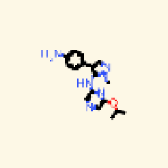 CC(C)Oc1cncc(Nc2c(-c3ccc(N)cc3)cnn2C)n1